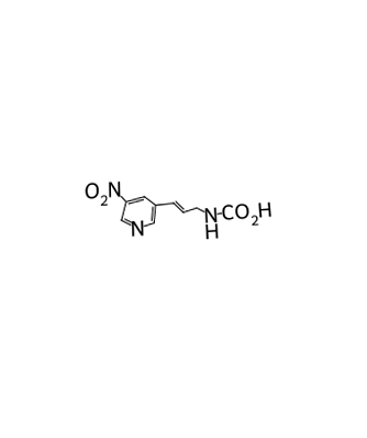 O=C(O)NCC=Cc1cncc([N+](=O)[O-])c1